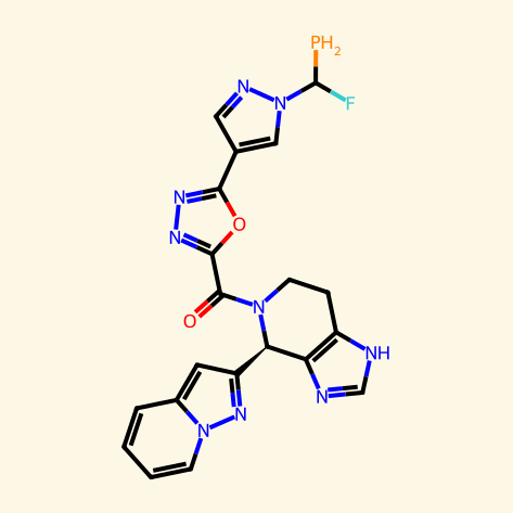 O=C(c1nnc(-c2cnn(C(F)P)c2)o1)N1CCc2[nH]cnc2[C@H]1c1cc2ccccn2n1